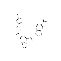 CCc1cc(CNC(=O)c2cc(C(=O)N[C@H]3CCc4c3ccc(C(C)=O)c4C)n3ncnc3n2)cs1